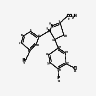 O=C(O)C1=NN(c2cccc(Br)c2)C(c2ccc(F)c(Cl)c2)C1